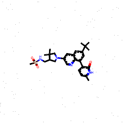 Cc1ccc(-c2cc(C(C)(C)C)cc3cc(N4CC(CNS(C)(=O)=O)C(C)(C)C4)cnc23)c(=O)[nH]1